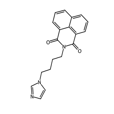 O=C1c2cccc3cccc(c23)C(=O)N1CCCCn1ccnc1